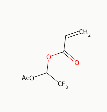 C=CC(=O)OC(OC(C)=O)C(F)(F)F